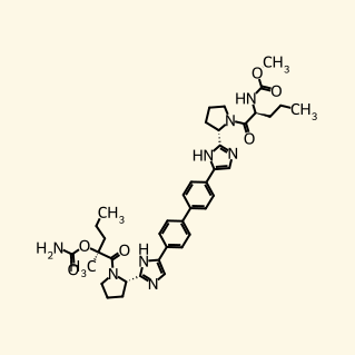 CCC[C@H](NC(=O)OC)C(=O)N1CCC[C@H]1c1ncc(-c2ccc(-c3ccc(-c4cnc([C@@H]5CCCN5C(=O)[C@](C)(CCC)OC(N)=O)[nH]4)cc3)cc2)[nH]1